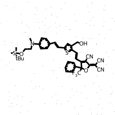 CN(CCO[Si](C)(C)C(C)(C)C)c1ccc(C=Cc2cc(CO)c(C=CC3=C(C#N)C(=C(C#N)C#N)OC3(c3ccccc3)C(F)(F)F)s2)cc1